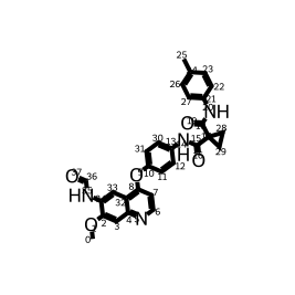 COc1cc2nccc(Oc3ccc(NC(=O)C4(C(=O)Nc5ccc(C)cc5)CC4)cc3)c2cc1NC=O